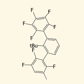 Cc1cc(F)c(F)c(-c2cccc(-c3c(F)c(F)c(F)c(F)c3F)c2C(C)(C)C)c1F